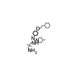 CC1CCN(/C(=N\c2ccc(OCCC3CCCCC3)cc2)NCC(C)(C)CN)CC1